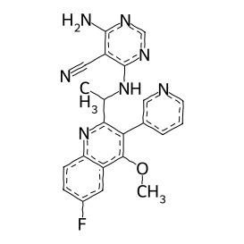 COc1c(-c2cccnc2)c(C(C)Nc2ncnc(N)c2C#N)nc2ccc(F)cc12